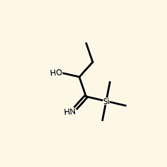 CCC(O)C(=N)[Si](C)(C)C